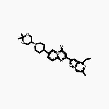 CCc1nc(C)cn2nc(-c3cc(=O)n4cc(C5CCN(C6COC(C)(C)OC6)CC5)ccc4n3)cc12